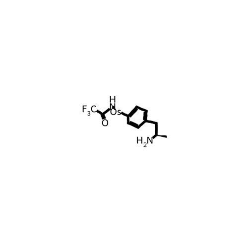 C[C@@H](N)Cc1cc[c]([Os][NH]C(=O)C(F)(F)F)cc1